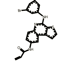 C=CC(=O)Nc1ccc2nc(Nc3cccc(Br)c3)c3sccc3c2c1